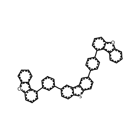 c1cc(-c2ccc3sc4ccc(-c5ccc(-c6cccc7oc8ccccc8c67)cc5)cc4c3c2)cc(-c2cccc3oc4ccccc4c23)c1